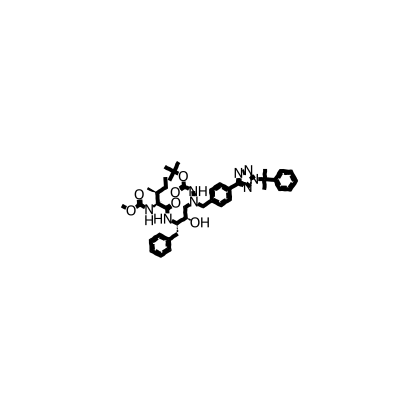 CC[C@H](C)[C@H](NC(=O)OC)C(=O)N[C@@H](Cc1ccccc1)[C@@H](O)CN(Cc1ccc(-c2nnn(C(C)(C)c3ccccc3)n2)cc1)NC(=O)OC(C)(C)C